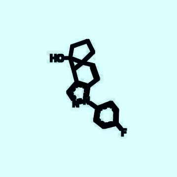 OC12CCCC13C=Cc1c(cnn1-c1ccc(F)cc1)C23